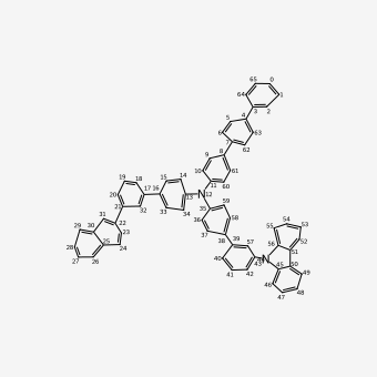 c1ccc(-c2ccc(-c3ccc(N(c4ccc(-c5cccc(-c6ccc7ccccc7c6)c5)cc4)c4ccc(-c5cccc(-n6c7ccccc7c7ccccc76)c5)cc4)cc3)cc2)cc1